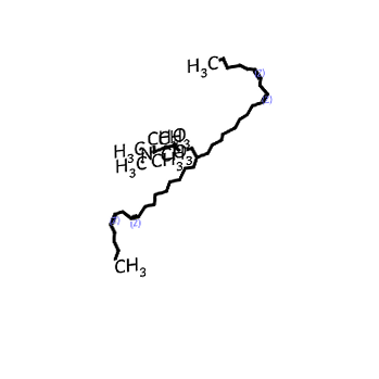 CCCCC/C=C\C/C=C\CCCCCCCCC(CCCCCCCC/C=C\C/C=C\CCCCC)COC(=O)C(C)(C)C(C)(C)N(C)C